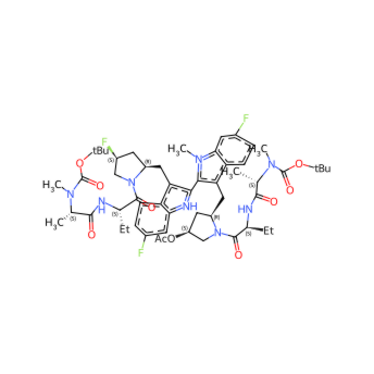 CC[C@H](NC(=O)[C@H](C)N(C)C(=O)OC(C)(C)C)C(=O)N1C[C@@H](F)C[C@H]1Cc1c(-c2c(C[C@@H]3C[C@H](OC(C)=O)CN3C(=O)[C@H](CC)NC(=O)[C@H](C)N(C)C(=O)OC(C)(C)C)c3ccc(F)cc3n2C)[nH]c2cc(F)ccc12